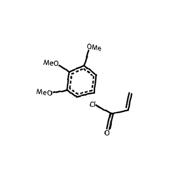 C=CC(=O)Cl.COc1cccc(OC)c1OC